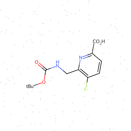 CC(C)(C)OC(=O)NCc1nc(C(=O)O)ccc1F